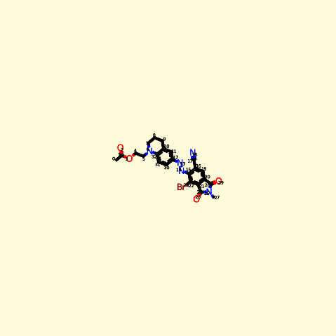 CC(=O)OCCN1CCCc2cc(/N=N/c3c(C#N)cc4c(c3Br)C(=O)N(C)C4=O)ccc21